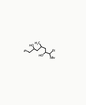 CCCCC(CC)C(O)CC(C)CC(O)CC(C)C